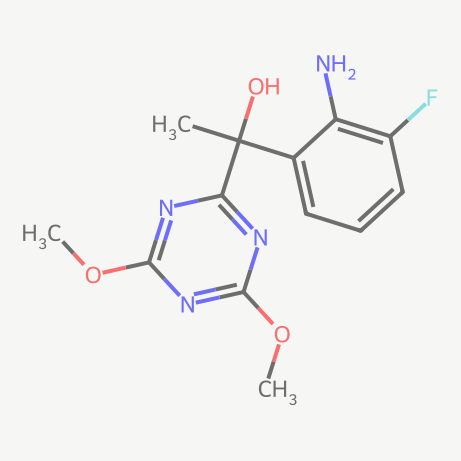 COc1nc(OC)nc(C(C)(O)c2cccc(F)c2N)n1